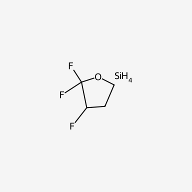 FC1CCOC1(F)F.[SiH4]